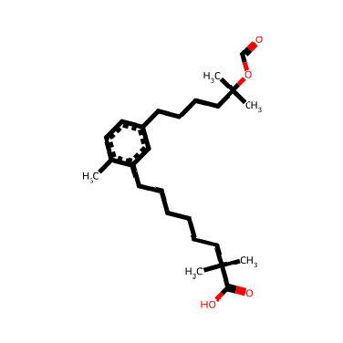 Cc1ccc(CCCCC(C)(C)OC=O)cc1CCCCCCC(C)(C)C(=O)O